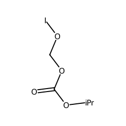 CC(C)OC(=O)OCOI